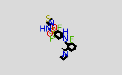 C[C@@H](c1cccc(F)c1CNc1cc(F)c(S(=O)(=O)Nc2cscn2)c(F)c1)N1CCC1